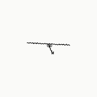 CCCCC/C=C/C/C=C/CCCCCCCCC(CCCCCCCC/C=C/C/C=C/CCCCC)OC(=O)CCCCCN(C)C